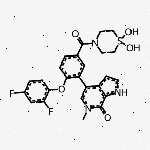 Cn1cc(-c2cc(C(=O)N3CCS(O)(O)CC3)ccc2Oc2ccc(F)cc2F)c2cc[nH]c2c1=O